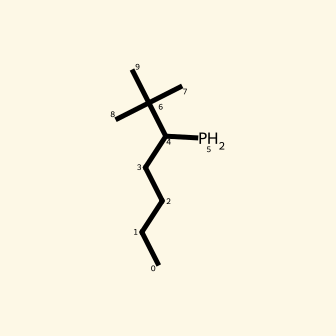 CCCCC(P)C(C)(C)C